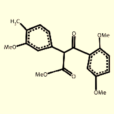 COC(=O)C(C(=O)c1cc(OC)ccc1OC)c1ccc(C)c(OC)c1